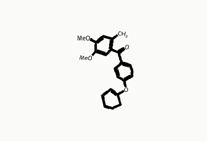 COc1cc(C)c(C(=O)c2ccc(OC3=CCCCC3)cc2)cc1OC